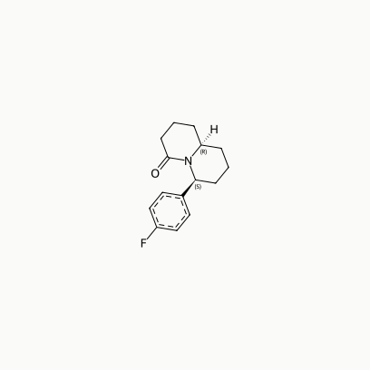 O=C1CCC[C@H]2CCC[C@@H](c3ccc(F)cc3)N12